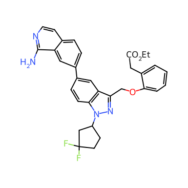 CCOC(=O)Cc1ccccc1OCc1nn(C2CCC(F)(F)C2)c2ccc(-c3ccc4ccnc(N)c4c3)cc12